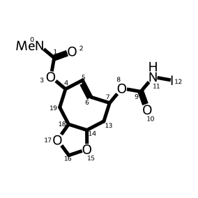 CNC(=O)OC1/C=C/C(OC(=O)NI)CC2OCOC2C1